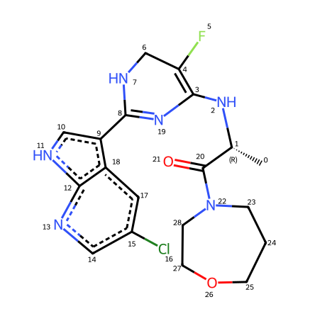 C[C@@H](NC1=C(F)CNC(c2c[nH]c3ncc(Cl)cc23)=N1)C(=O)N1CCCOCC1